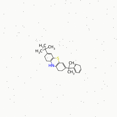 CC(C)(C)C1=CC2=C(CC1)NC1=C(C=C(C(C)(C)C3=CC=CCC3)CC1)S2